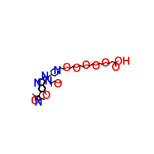 COCC(C)n1c(C2CCN(CCOCCOCCOCCOCCOCCC(=O)O)CC2)nc2cnc3cc(-c4c(C)noc4C)c(OC)cc3c21